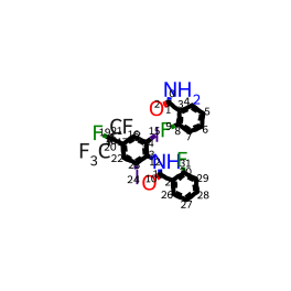 NC(=O)c1ccccc1F.O=C(Nc1c(I)cc(C(F)(C(F)(F)F)C(F)(F)F)cc1I)c1ccccc1F